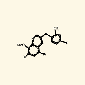 COc1c(Br)cc(Br)c2cc(Cc3ccc(F)cc3C)cnc12